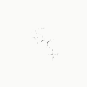 CO[Si](CC(=O)C(=O)OCC(F)(F)F)(OC)OC